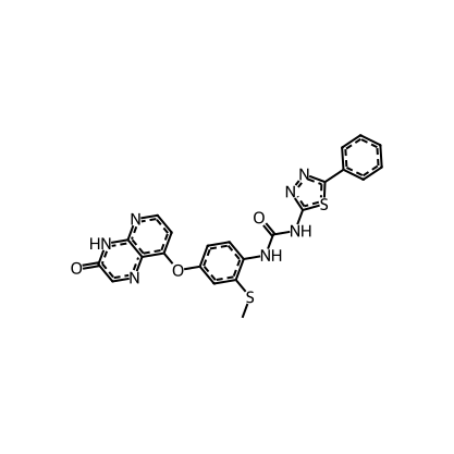 CSc1cc(Oc2ccnc3[nH]c(=O)cnc23)ccc1NC(=O)Nc1nnc(-c2ccccc2)s1